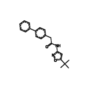 CC(C)(C)c1cc(NC(=O)Cc2ccc(-c3ccccc3)cc2)no1